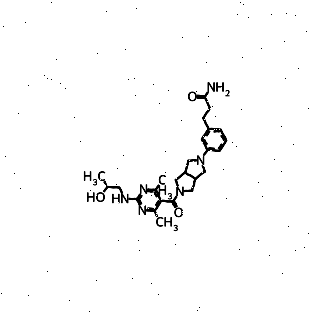 Cc1nc(NC[C@H](C)O)nc(C)c1C(=O)N1CC2CN(c3cccc(CCC(N)=O)c3)CC2C1